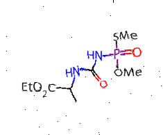 CCOC(=O)C(C)NC(=O)NP(=O)(OC)SC